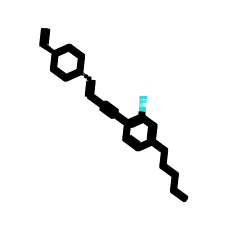 C=C[C@H]1CC[C@H](/C=C/C#Cc2ccc(CCCCC)cc2F)CC1